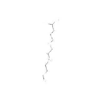 CC(C)CCCNCCNCCCN